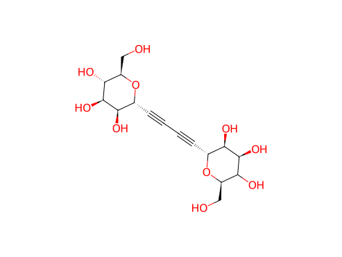 OC[C@H]1O[C@H](C#CC#C[C@H]2O[C@H](CO)[C@@H](O)[C@H](O)[C@@H]2O)[C@@H](O)[C@@H](O)C1O